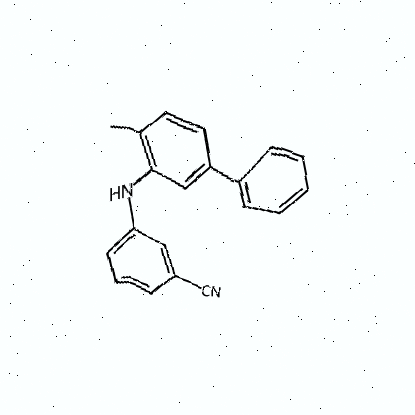 Cc1ccc(-c2ccccc2)cc1Nc1cccc(C#N)c1